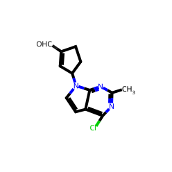 Cc1nc(Cl)c2ccn(C3C=C(C=O)CC3)c2n1